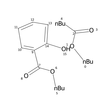 CCCCOC(=O)CCCC.CCCCOC(=O)c1ccccc1O